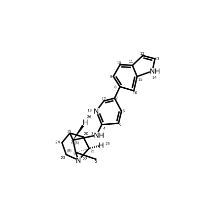 C[C@@H]1[C@@H](Nc2ccc(-c3ccc4cc[nH]c4c3)cn2)C2CCN1CC2